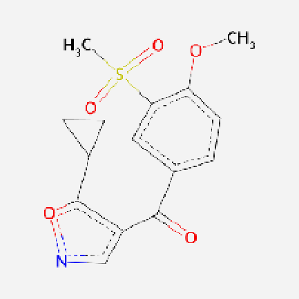 COc1ccc(C(=O)c2cnoc2C2CC2)cc1S(C)(=O)=O